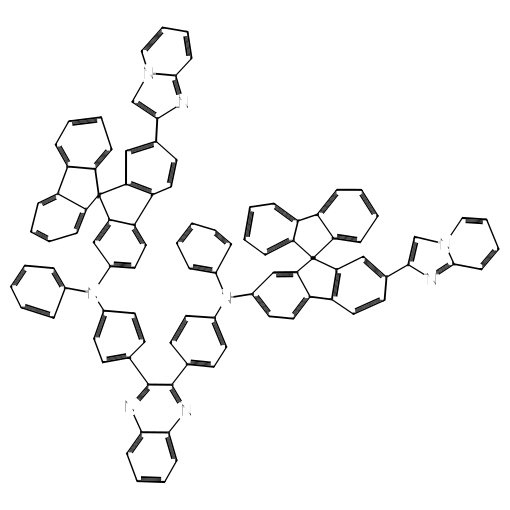 c1ccc(N(c2ccc(-c3nc4ccccc4nc3-c3ccc(N(c4ccccc4)c4ccc5c(c4)C4(c6ccccc6-c6ccccc64)c4cc(-c6cn7ccccc7n6)ccc4-5)cc3)cc2)c2ccc3c(c2)C2(c4ccccc4-c4ccccc42)c2cc(-c4cn5ccccc5n4)ccc2-3)cc1